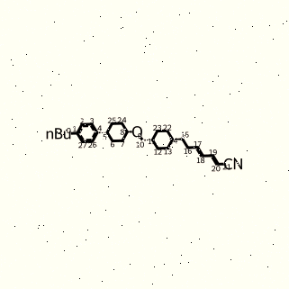 CCCCc1ccc([C@H]2CC[C@H](OC[C@H]3CC[C@H](CC/C=C/C=C/C#N)CC3)CC2)cc1